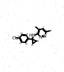 Cc1cc(C)c(NC2(c3ccc(Cl)cc3)CC2)nn1